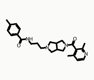 Cc1ccc(C(=O)NCCCN2CC3CN(C(=O)c4c(C)ccnc4C)CC3C2)cc1